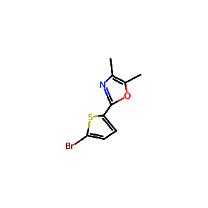 Cc1nc(-c2ccc(Br)s2)oc1C